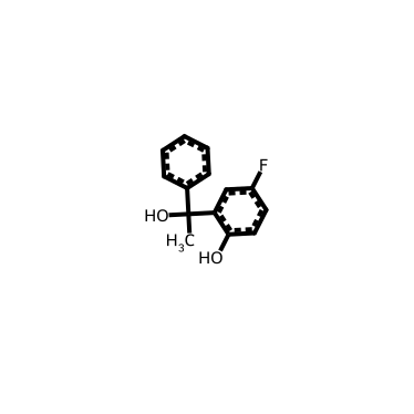 CC(O)(c1ccccc1)c1cc(F)ccc1O